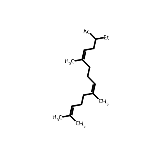 CCC(CC=C(C)CCC=C(C)CCC=C(C)C)C(C)=O